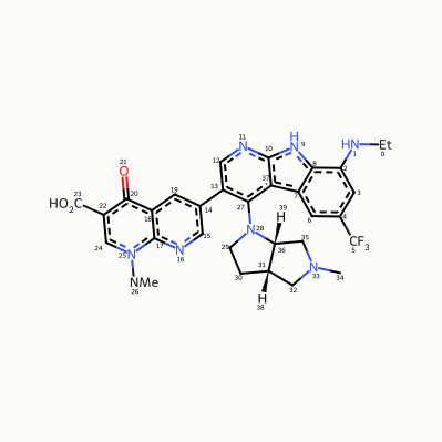 CCNc1cc(C(F)(F)F)cc2c1[nH]c1ncc(-c3cnc4c(c3)c(=O)c(C(=O)O)cn4NC)c(N3CC[C@H]4CN(C)C[C@H]43)c12